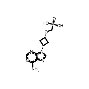 Nc1ncnc2c1ncn2[C@H]1C[C@@H](OCP(=O)(O)O)C1